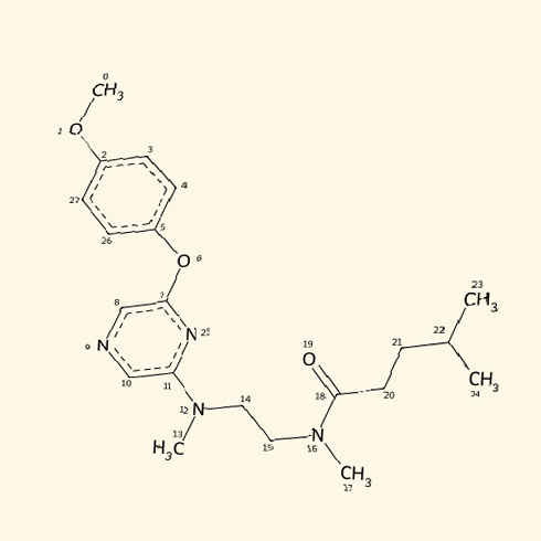 COc1ccc(Oc2cncc(N(C)CCN(C)C(=O)CCC(C)C)n2)cc1